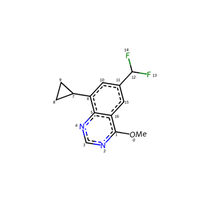 COc1ncnc2c(C3CC3)cc(C(F)F)cc12